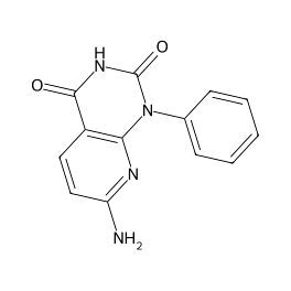 Nc1ccc2c(=O)[nH]c(=O)n(-c3ccccc3)c2n1